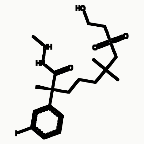 CNNC(=O)[C@](C)(CCCC(C)(C)CS(=O)(=O)CCO)c1cccc(I)c1